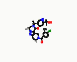 C[C@@H]1Cc2nn3c(c2CN1C(=O)c1ccc(Cl)c(C#N)c1)C(=O)N([C@@H](C)c1ccc(C(C)(C)O)nc1)C[C@H]3C